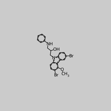 COc1c(Br)ccc2c1c1cc(Br)ccc1n2CC(O)CNc1ccccc1